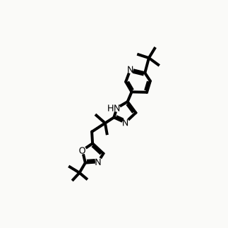 CC(C)(C)c1ccc(-c2cnc(C(C)(C)Cc3cnc(C(C)(C)C)o3)[nH]2)cn1